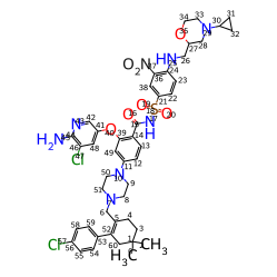 CC1(C)CCC(CN2CCN(c3ccc(C(=O)NS(=O)(=O)c4ccc(NCC5CN(C6CC6)CCO5)c([N+](=O)[O-])c4)c(Oc4cnc(N)c(Cl)c4)c3)CC2)=C(c2ccc(Cl)cc2)C1